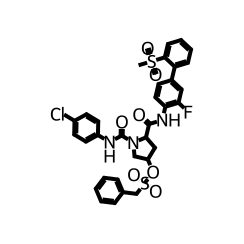 CS(=O)(=O)c1ccccc1-c1ccc(NC(=O)C2CC(OS(=O)(=O)Cc3ccccc3)CN2C(=O)Nc2ccc(Cl)cc2)c(F)c1